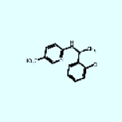 C[C@H](Nc1ccc(C(=O)O)cn1)c1ccccc1Cl